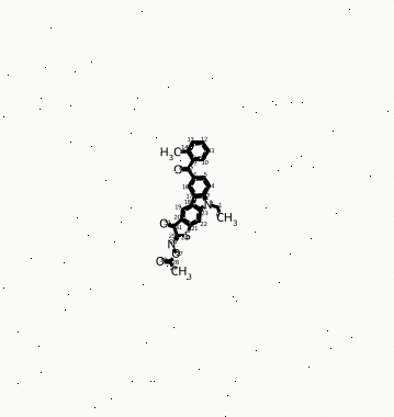 CCn1c2ccc(C(=O)c3ccccc3C)cc2c2cc3c(cc21)S/C(=N\OC(C)=O)C3=O